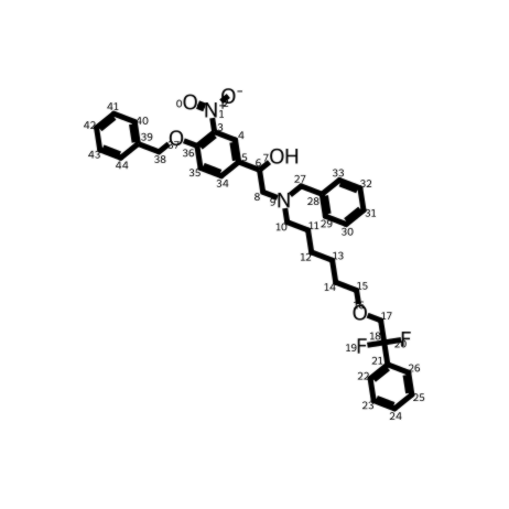 O=[N+]([O-])c1cc(C(O)CN(CCCCCCOCC(F)(F)c2ccccc2)Cc2ccccc2)ccc1OCc1ccccc1